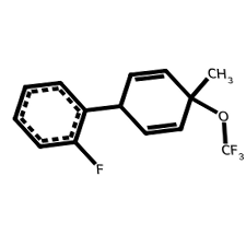 CC1(OC(F)(F)F)C=CC(c2ccccc2F)C=C1